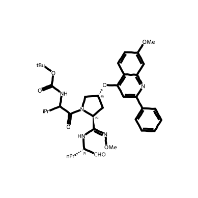 CCC[C@@H](C=O)NC(=NOC)[C@@H]1C[C@@H](Oc2cc(-c3ccccc3)nc3cc(OC)ccc23)CN1C(=O)C(NC(=O)OC(C)(C)C)C(C)C